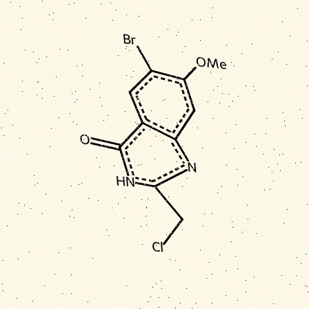 COc1cc2nc(CCl)[nH]c(=O)c2cc1Br